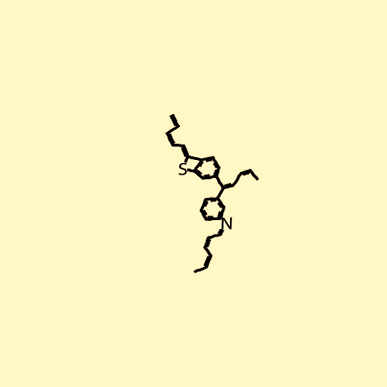 C=C/C=C\C=C1/Sc2cc(/C(=C\C=C/C)c3cccc(\N=C/C=C\C=C/C)c3)ccc21